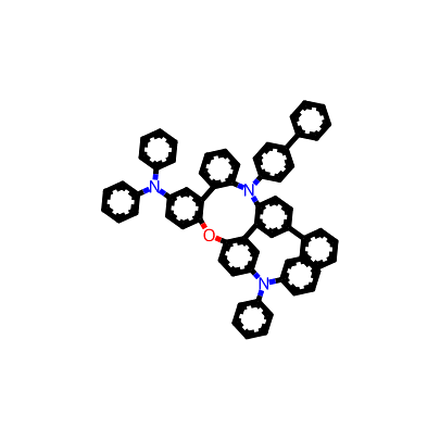 c1ccc(-c2ccc(N3c4ccccc4-c4cc(N(c5ccccc5)c5ccccc5)ccc4Oc4ccc(N(c5ccccc5)c5ccccc5)cc4-c4cc(-c5ccccc5)ccc43)cc2)cc1